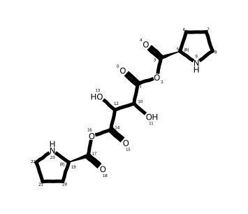 O=C(OC(=O)[C@H]1CCCN1)C(O)C(O)C(=O)OC(=O)[C@H]1CCCN1